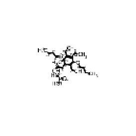 CCCCOC1=C(CC)C(CCC)C(C)(OCCCC)C(CC)=C1CC.O=[PH](O)O